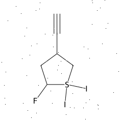 C#CC1CC(F)S(I)(I)C1